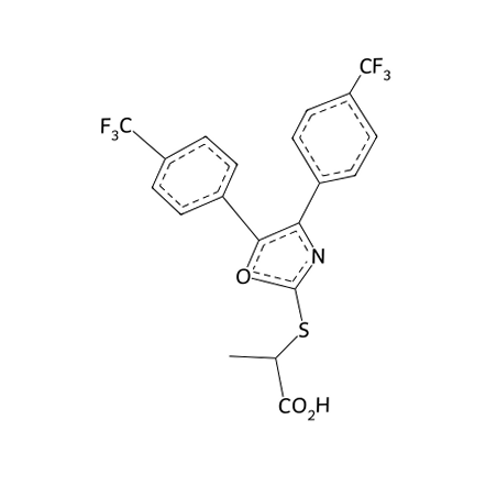 CC(Sc1nc(-c2ccc(C(F)(F)F)cc2)c(-c2ccc(C(F)(F)F)cc2)o1)C(=O)O